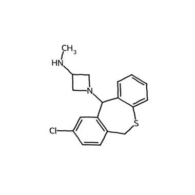 CNC1CN(C2c3cc(Cl)ccc3CSc3ccccc32)C1